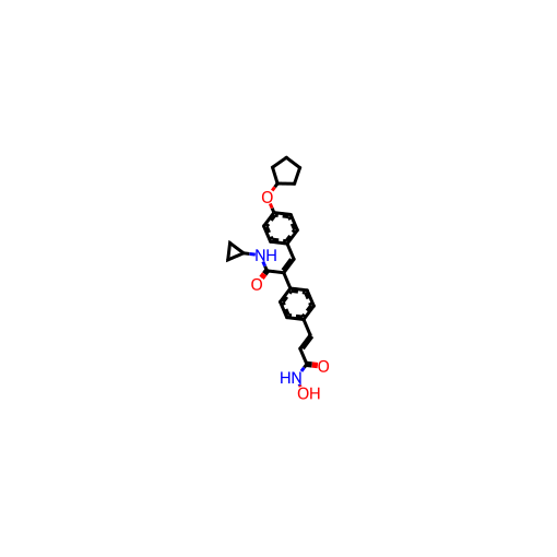 O=C(C=Cc1ccc(C(=Cc2ccc(OC3CCCC3)cc2)C(=O)NC2CC2)cc1)NO